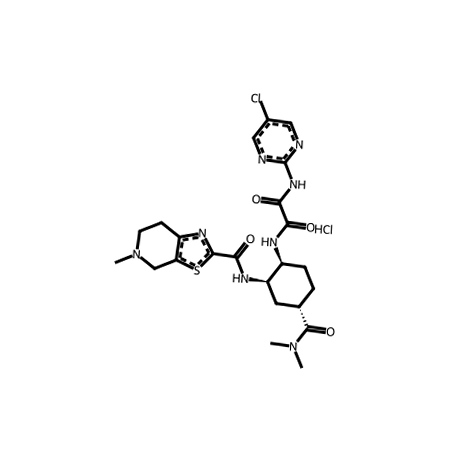 CN1CCc2nc(C(=O)N[C@@H]3C[C@@H](C(=O)N(C)C)CC[C@@H]3NC(=O)C(=O)Nc3ncc(Cl)cn3)sc2C1.Cl